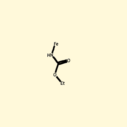 CCOC(=O)[NH][Fe]